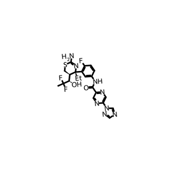 CC[C@]1(c2cc(NC(=O)c3cnc(-n4cncn4)cn3)ccc2F)N=C(N)SC[C@@H]1[C@H](O)C(C)(F)F